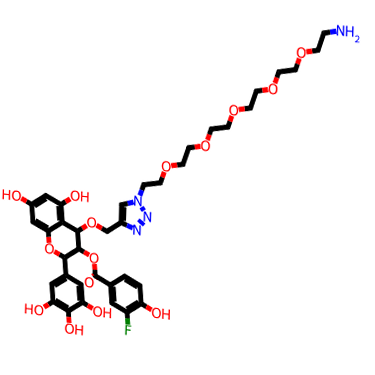 NCCOCCOCCOCCOCCOCCn1cc(COC2c3c(O)cc(O)cc3OC(c3cc(O)c(O)c(O)c3)C2OC(=O)c2ccc(O)c(F)c2)nn1